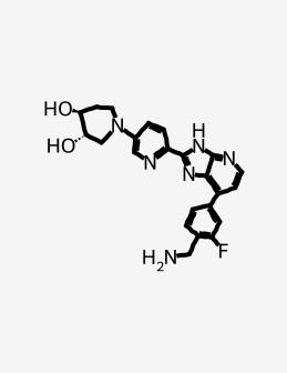 NCc1ccc(-c2ccnc3[nH]c(-c4ccc(N5CC[C@H](O)[C@@H](O)C5)cn4)nc23)cc1F